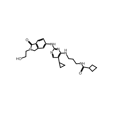 O=C(NCCCNc1nc(Nc2ccc3c(c2)CN(CCO)C3=O)ncc1C1CC1)C1CCC1